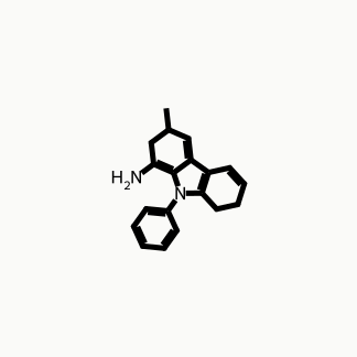 CC1C=c2c3c(n(-c4ccccc4)c2=C(N)C1)CCC=C3